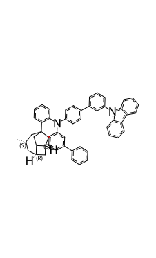 C[C@H]1C[C@@H]2C[C@H]3CC(c4ccccc4N(c4ccc(-c5cccc(-n6c7ccccc7c7ccccc76)c5)cc4)c4cccc(-c5ccccc5)c4)(CC23)C1